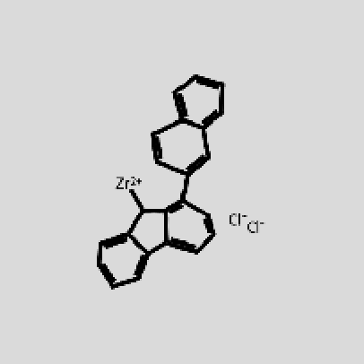 [Cl-].[Cl-].[Zr+2][CH]1c2ccccc2-c2cccc(-c3ccc4ccccc4c3)c21